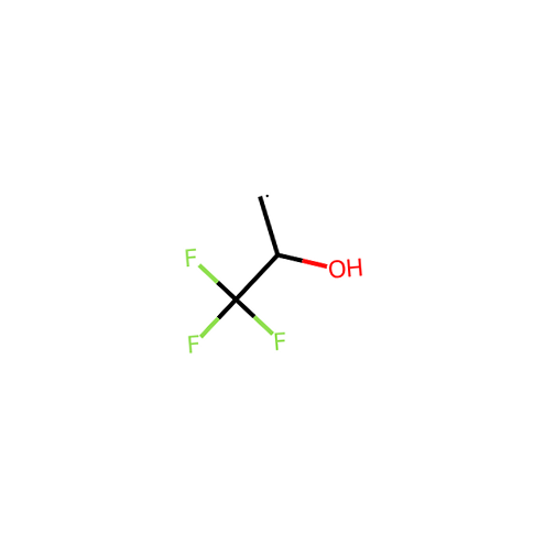 [CH2]C(O)C(F)(F)F